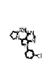 C[C@H]1CCCN1c1cn(-c2cccc(Cl)c2)c2ncnc(Cl)c12